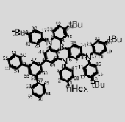 CCCCCCc1ccc(N2c3cc(N(c4ccc(C(C)(C)C)cc4)c4ccc(C(C)(C)C)cc4)ccc3B3c4cc(C(C)(C)C)ccc4N(c4ccc(C(C)(C)C)cc4)c4cc(-c5cc(-c6ccccc6)cc(-c6ccccc6)c5)cc2c43)cc1